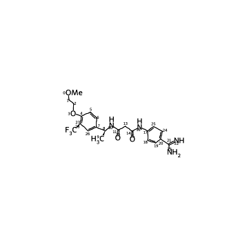 COCCOc1ccc([C@H](C)NC(=O)CC(=O)Nc2ccc(C(=N)N)cc2)cc1C(F)(F)F